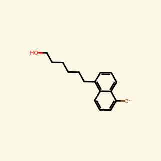 OCCCCCCc1cccc2c(Br)cccc12